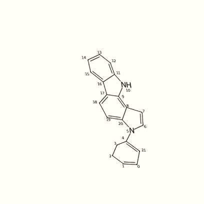 C1=CCCC(n2ccc3c4[nH]c5ccccc5c4ccc32)=C1